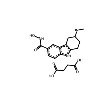 CNC1CCc2[nH]c3ccc(C(=O)NO)cc3c2C1.O=C(O)CCC(=O)O